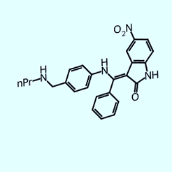 CCCNCc1ccc(NC(=C2C(=O)Nc3ccc([N+](=O)[O-])cc32)c2ccccc2)cc1